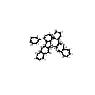 c1ccc(-c2cccc3c2c2cc4ccccc4cc2n3-c2nc3ccccc3nc2-c2cccnc2)cc1